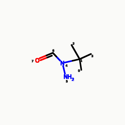 CC(C)(C)N(N)C=O